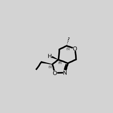 CC[C@@H]1ON=C2CO[C@@H](C)C[C@H]21